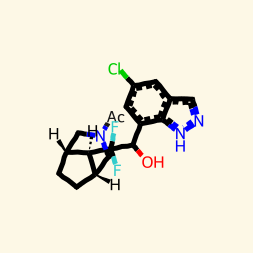 CC(=O)N1C[C@H]2CC[C@@H](C1)[C@@H]2C(F)(F)C(O)c1cc(Cl)cc2cn[nH]c12